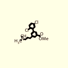 COC(=O)c1cc(CCCN(C)C)cc(-c2cc(Cl)ccc2Cl)c1